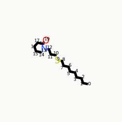 CCCCCCCCCSCCCN1CCCCC1=O